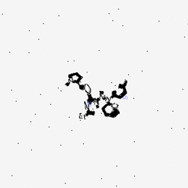 C=C(C)/C=C\C(=C)N(C1CCCCO1)N(C)N(C)/C(=N\C(=C)CC)OC[C@@H]1CCCN1C